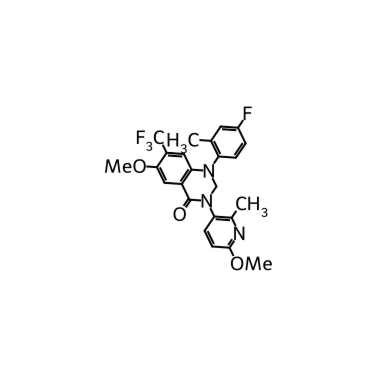 COc1ccc(N2CN(c3ccc(F)cc3C)c3cc(C(F)(F)F)c(OC)cc3C2=O)c(C)n1